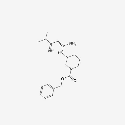 CC(C)C(=N)/C=C(/N)NC1CCCN(C(=O)OCc2ccccc2)C1